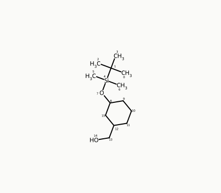 CC(C)(C)[Si](C)(C)OC1CCCC(CO)C1